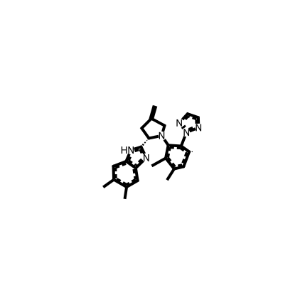 C=C1C[C@@H](c2nc3cc(C)c(C)cc3[nH]2)N(c2c(-n3nccn3)[c]cc(C)c2C)C1